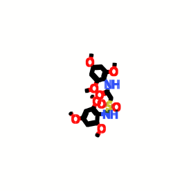 COc1cc(OC)c(NC(=O)CS(=O)(=O)Nc2c(OC)cc(OC)cc2OC)c(OC)c1